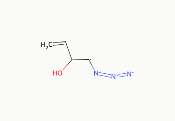 C=CC(O)[CH]N=[N+]=[N-]